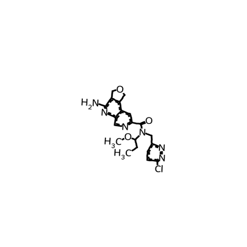 CCC(OC)N(Cc1ccc(Cl)nn1)C(=O)c1cc2c3c(c(N)nc2cn1)COC3